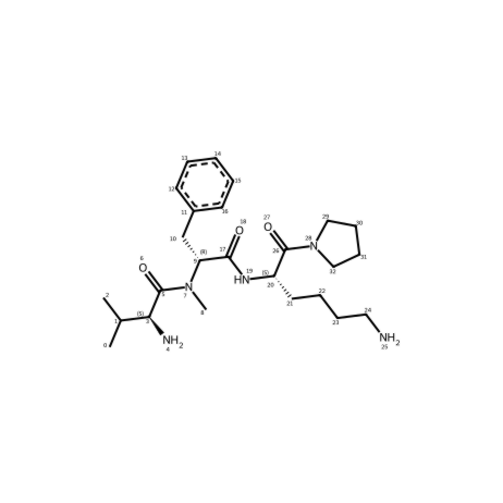 CC(C)[C@H](N)C(=O)N(C)[C@H](Cc1ccccc1)C(=O)N[C@@H](CCCCN)C(=O)N1CCCC1